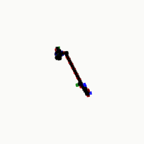 C=C(F)C(=O)N1CCN(c2nc(OC[C@@H]3CCCN3CCOCCOCCOCCOCCOCCOCCOCCOCCOCCOCCc3cc(Cl)cc(NC(=O)NCc4ccc5c(c4)CN(C4CCC(=O)NC4=O)C5=O)c3)nc3c2CCN(c2cccc4cccc(Cl)c24)C3)C[C@@H]1CC#N